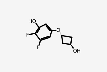 Oc1cc(O[C@H]2C[C@H](O)C2)cc(F)c1F